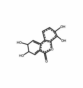 O=c1oc2c(O)c(O)ccc2c2c1=CC(O)C(O)C=2